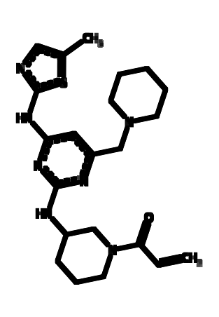 C=CC(=O)N1CCCC(Nc2nc(CN3CCCCC3)cc(Nc3ncc(C)s3)n2)C1